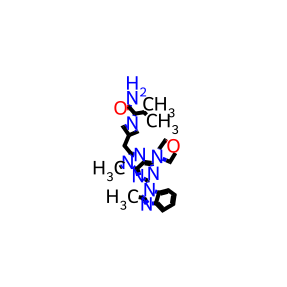 Cc1nc2ccccc2n1-c1nc(N2CCOCC2)c2nc(CC3CN(C(C(N)=O)C(C)C)C3)n(C)c2n1